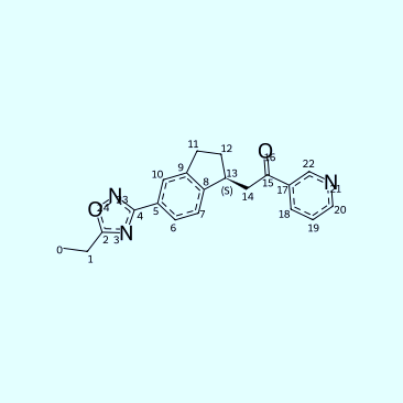 CCc1nc(-c2ccc3c(c2)CC[C@H]3CC(=O)c2cccnc2)no1